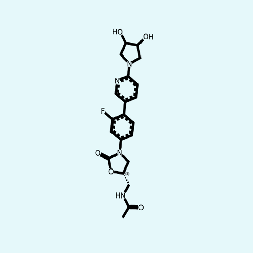 CC(=O)NC[C@H]1CN(c2ccc(-c3ccc(N4CC(O)C(O)C4)nc3)c(F)c2)C(=O)O1